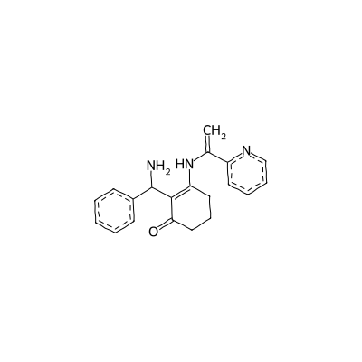 C=C(NC1=C(C(N)c2ccccc2)C(=O)CCC1)c1ccccn1